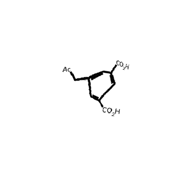 CC(=O)Cc1cc(C(=O)O)cc(C(=O)O)c1